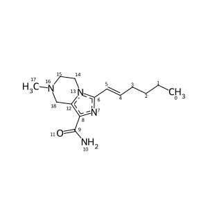 CCCC/C=C/c1nc(C(N)=O)c2n1CCN(C)C2